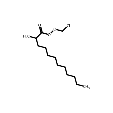 CCCCCCCCCCC(C)C(=O)OOCCl